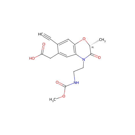 C#Cc1cc2c(cc1CC(=O)O)N(CCNC(=O)OC)C(=O)[C@@H](C)O2